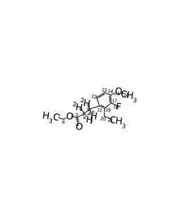 [2H]C([2H])(C(=O)OCC)C([2H])([2H])c1ccc(OC)c(F)c1CC